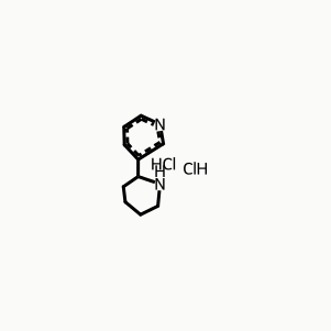 Cl.Cl.c1cncc(C2CCCCN2)c1